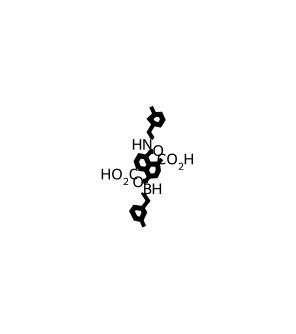 Cc1cccc(CCBC(=O)c2ccc(C(=O)O)c3c(C(=O)NCCc4cccc(C)c4)ccc(C(=O)O)c23)c1